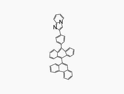 c1ccc2c(c1)cc(-c1c3ccccc3c(-c3ccc(-c4cn5ccccc5n4)cc3)c3ccccc13)c1ccccc12